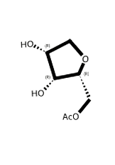 CC(=O)OC[C@H]1O[CH][C@@H](O)[C@H]1O